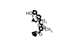 COc1cc(C(=O)N2CC3CC4CC2[C@H]43)cc2sc(-c3cc4ccc(-c5cccc(O)c5F)nc4n3CC3CC3)c(C)c12